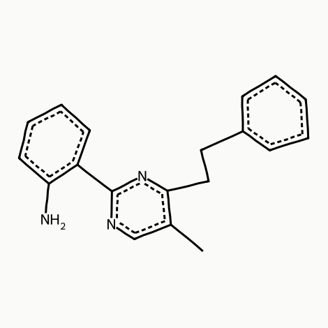 Cc1cnc(-c2ccccc2N)nc1CCc1ccccc1